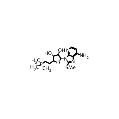 C=P(C)(C)CCC1O[C@@H](n2c(SC)nc3c(N)ccnc32)[C@H](O)[C@@H]1O